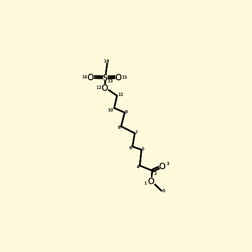 COC(=O)CCCCCCCCOS(C)(=O)=O